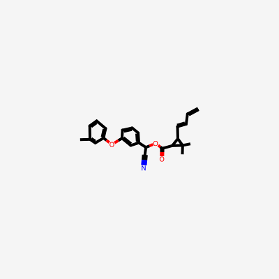 C=CC=CC1C(C(=O)OC(C#N)c2cccc(Oc3cccc(C)c3)c2)C1(C)C